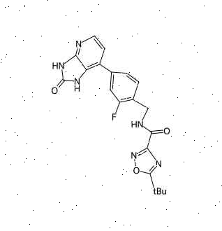 CC(C)(C)c1nc(C(=O)NCc2ccc(-c3ccnc4[nH]c(=O)[nH]c34)cc2F)no1